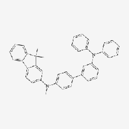 CN(c1ccc(-c2cccc(N(c3ccccc3)c3ccccc3)c2)cc1)c1ccc2c(c1)C(C)(C)c1ccccc1-2